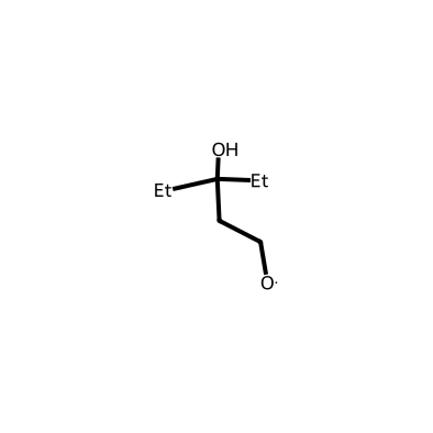 CCC(O)(CC)CC[O]